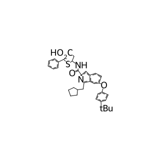 CC(C)(C)c1ccc(Oc2ccc3cc(C(=O)NC(CC(=O)O)SCc4ccccc4)nc(CC4CCCC4)c3c2)cc1